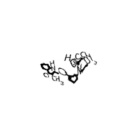 Cc1c(COc2cccc(N3CCOC(C)(C)C3=O)c2)[nH]c2ccccc2c1=O